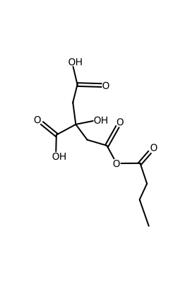 CCCC(=O)OC(=O)CC(O)(CC(=O)O)C(=O)O